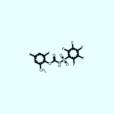 Cc1cc(I)cc(I)c1OC(=O)NS(=O)(=O)c1c(F)c(F)c(F)c(F)c1F